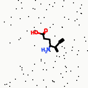 C#CC(=C)C(N)CCC(=O)O